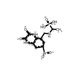 CC(NCc1cc([N+](=O)[O-])cc2[nH]c(=O)c(=O)[nH]c12)P(=O)(O)O